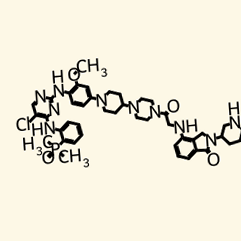 COc1cc(N2CCC(N3CCN(C(=O)CNc4cccc5c4CN(C4CCCNC4)C5=O)CC3)CC2)ccc1Nc1ncc(Cl)c(Nc2ccccc2P(C)(C)=O)n1